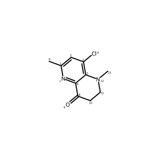 Cc1cc(Cl)c2c(n1)C(=O)CCN2C